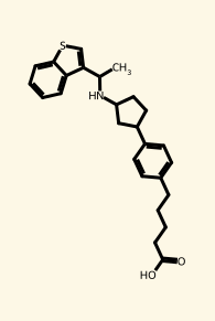 CC(NC1CCC(c2ccc(CCCCC(=O)O)cc2)C1)c1csc2ccccc12